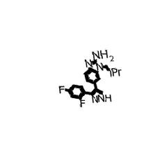 CC(C)Cn1c(N)nc2ccc(-c3c[nH]nc3-c3ccc(F)cc3F)cc21